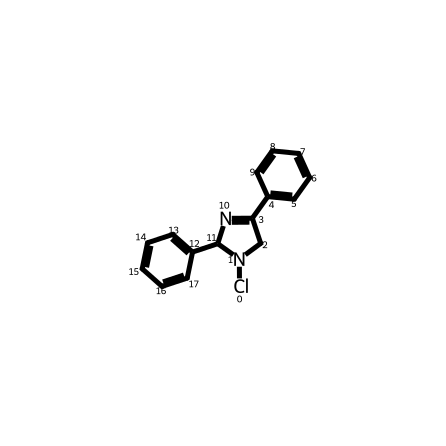 ClN1CC(c2ccccc2)=NC1c1ccccc1